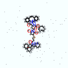 O=C(CCSC1CC(=O)N(CCC(NC(=O)O[C@H]2CC/C=C/CCC2)C(=O)N2Cc3ccccc3C#Cc3ccccc32)C1=O)NC(CC1CCCCC1)(CC1CCCCC1)C1CCCCC1